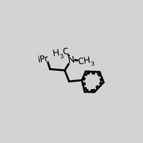 CC(C)CC(Cc1ccccc1)N(C)C